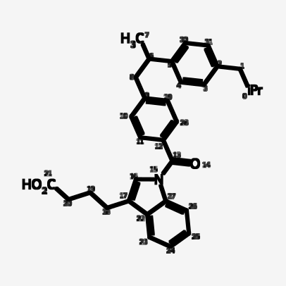 CC(C)Cc1ccc(C(C)Cc2ccc(C(=O)n3cc(CCCC(=O)O)c4ccccc43)cc2)cc1